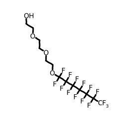 OCCOCCOCCOC(F)(F)C(F)(F)C(F)(F)C(F)(F)C(F)(F)C(F)(F)C(F)(F)F